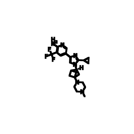 CN1CCN(C23CC(C2)[C@@H](n2cc(-c4cnc(N)c(C(F)(F)F)c4)nc2C2CC2)C3)CC1